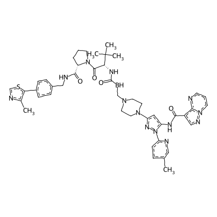 Cc1ccc(-n2nc(N3CCN(CBC(=O)N[C@H](C(=O)N4CCC[C@H]4C(=O)NCc4ccc(-c5scnc5C)cc4)C(C)(C)C)CC3)cc2NC(=O)c2cnn3cccnc23)nc1